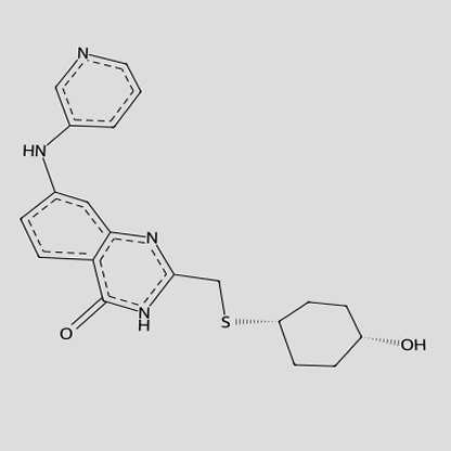 O=c1[nH]c(CS[C@H]2CC[C@@H](O)CC2)nc2cc(Nc3cccnc3)ccc12